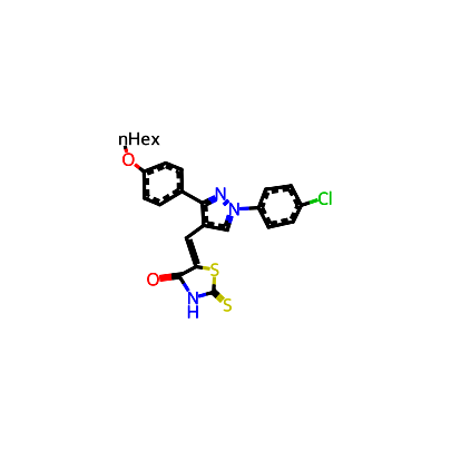 CCCCCCOc1ccc(-c2nn(-c3ccc(Cl)cc3)cc2/C=C2\SC(=S)NC2=O)cc1